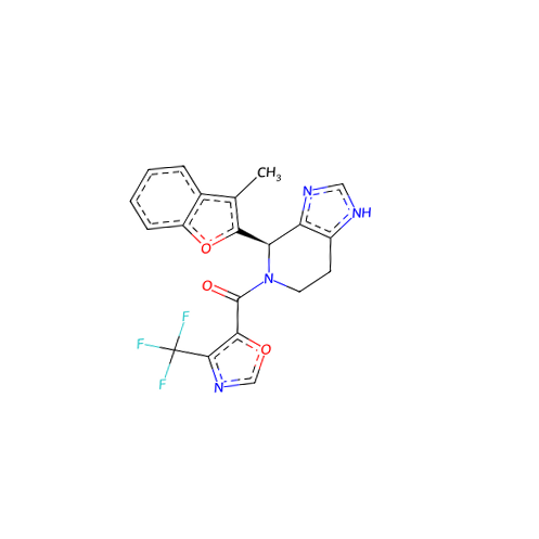 Cc1c([C@H]2c3nc[nH]c3CCN2C(=O)c2ocnc2C(F)(F)F)oc2ccccc12